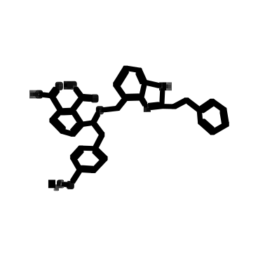 COc1ccc(CC(OCc2cccc3[nH]c(CCc4ccccc4)nc23)c2cccc(C(=O)O)c2C(=O)O)cc1